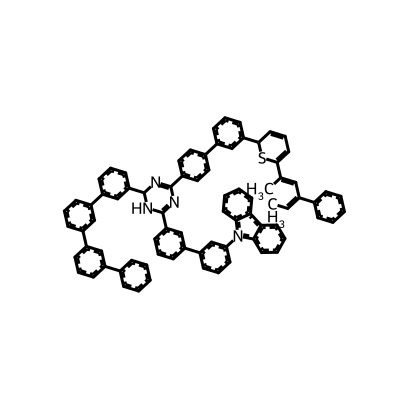 C/C=C(\C=C(/C)C1=CC=CC(c2cccc(-c3ccc(C4=NC(c5cccc(-c6cccc(-c7cccc(-c8ccccc8)c7)c6)c5)NC(c5cccc(-c6cccc(-n7c8ccccc8c8ccccc87)c6)c5)=N4)cc3)c2)S1)c1ccccc1